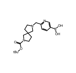 CC(C)(C)OC(=O)N1CCC2(CCN(Cc3ccc(B(O)O)cn3)C2)C1